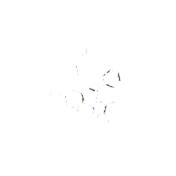 CSCCO[C@@H]1c2cc(-c3ccccc3)n3c(C)c(C)nc3c2NC[C@H]1O